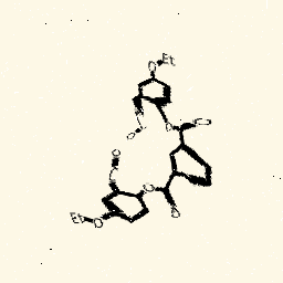 CCOC1=CC(=C=O)C(OC(=O)c2cccc(C(=O)OC3C=CC(OCC)=CC3=C=O)c2)C=C1